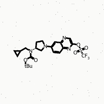 CC(C)(C)OC(=O)N(CC1CC1)[C@@H]1CCN(c2ccc3nc(OS(=O)(=O)C(F)(F)F)cnc3c2)C1